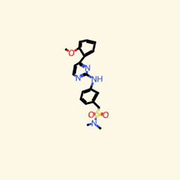 COc1ccccc1-c1ccnc(Nc2cccc(CS(=O)(=O)N(C)C)c2)n1